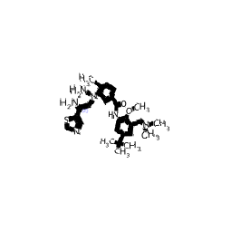 COc1c(CN(C)C)cc(C(C)(C)C)cc1NC(=O)c1ccc(C)c(N(N)/C=C(\N)c2cncs2)c1